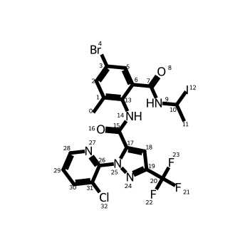 Cc1cc(Br)cc(C(=O)NC(C)I)c1NC(=O)c1cc(C(F)(F)F)nn1-c1ncccc1Cl